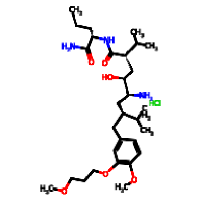 CCC[C@H](NC(=O)[C@@H](C[C@H](O)[C@@H](N)C[C@H](Cc1ccc(OC)c(OCCCOC)c1)C(C)C)C(C)C)C(N)=O.Cl